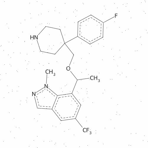 CC(OCC1(c2ccc(F)cc2)CCNCC1)c1cc(C(F)(F)F)cc2cnn(C)c12